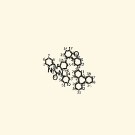 O=c1c2nc3ccccc3n2c2cc(-c3cccc4oc5ccc(-c6ccc7c8ccccc8c8ccccc8c7c6)cc5c34)ccc2n1-c1ccccc1